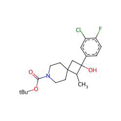 CC1C2(CCN(C(=O)OC(C)(C)C)CC2)CC1(O)c1ccc(F)c(Cl)c1